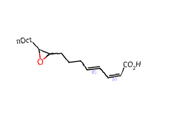 CCCCCCCCC1OC1CCC/C=C/C=C\C(=O)O